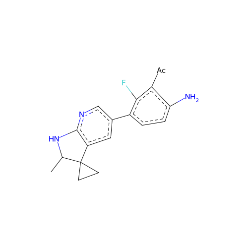 CC(=O)c1c(N)ccc(-c2cnc3c(c2)C2(CC2)C(C)N3)c1F